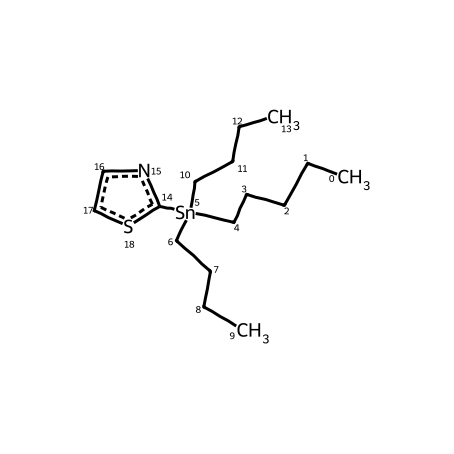 CCCC[CH2][Sn]([CH2]CCC)([CH2]CCC)[c]1nccs1